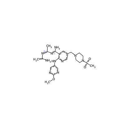 C=C(N)/N=C(C)\N=C(/N)c1cc(CN2CCN(S(C)(=O)=O)CC2)cnc1Nc1cnc(OC)nc1